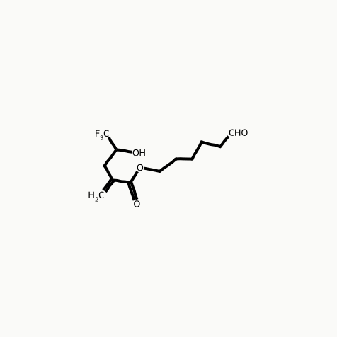 C=C(CC(O)C(F)(F)F)C(=O)OCCCCCC=O